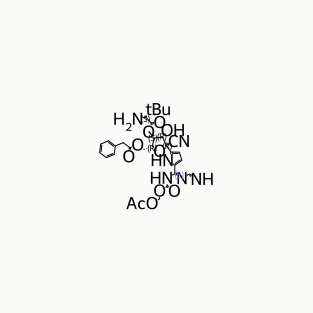 CC(=O)OCOC(=O)N/C(=N/C=N)c1ccc([C@]2(C#N)O[C@H](COC(=O)Cc3ccccc3)[C@@H](OC(=O)[C@@H](N)C(C)(C)C)[C@H]2O)[nH]1